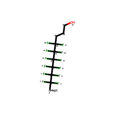 CCCCCCCC(F)(F)C(F)(F)C(F)(F)C(F)(F)C(F)(F)C(F)(F)CCCO